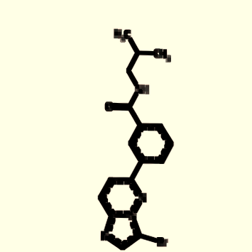 CC(C)CNC(=O)c1cccc(-c2ccc3ncc(Br)n3n2)c1